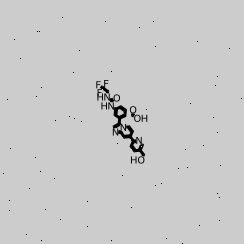 O=C(NCC(F)(F)F)Nc1cccc(-c2cnc3cc(-c4ccc(CO)cn4)ccn23)c1.O=CO